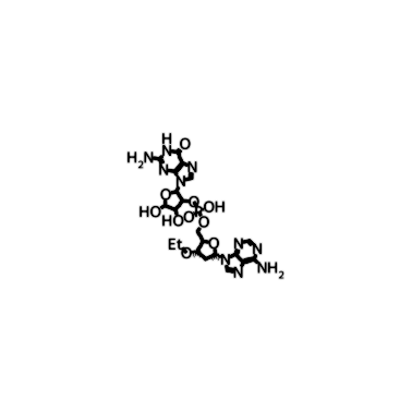 CCO[C@@H]1C[C@H](n2cnc3c(N)ncnc32)OC1COP(=O)(O)OC1C(O)C(O)OC1n1cnc2c(=O)[nH]c(N)nc21